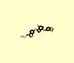 O=C(O)CC1COc2cc(O[C@@H]3CCc4c(Oc5ccc6c(c5)OCO6)ccc(F)c43)ccc21